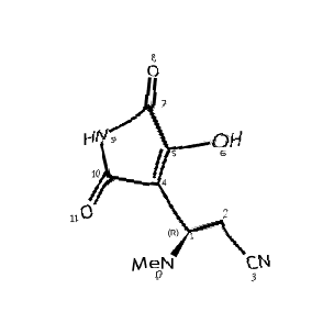 CN[C@H](CC#N)C1=C(O)C(=O)NC1=O